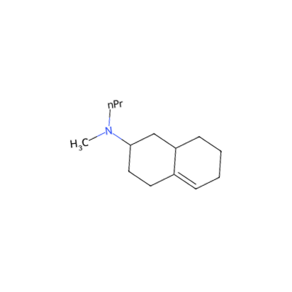 CCCN(C)C1CCC2=CCCCC2C1